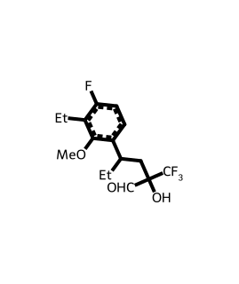 CCc1c(F)ccc(C(CC)CC(O)(C=O)C(F)(F)F)c1OC